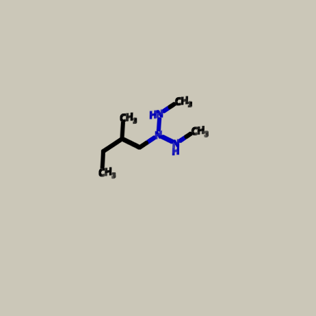 CCC(C)CN(NC)NC